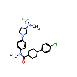 CN(C(=O)C1CCC(c2ccc(Cl)cc2)CC1)c1ccc(N2CCC(N(C)C)C2)cc1